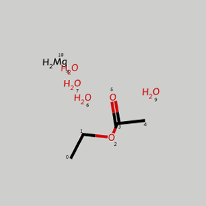 CCOC(C)=O.O.O.O.O.[MgH2]